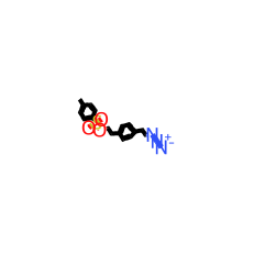 Cc1ccc(S(=O)(=O)OCCc2ccc(CCN=[N+]=[N-])cc2)cc1